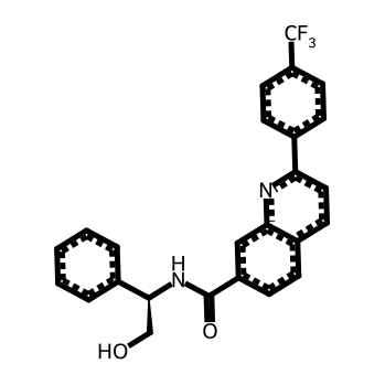 O=C(N[C@@H](CO)c1ccccc1)c1ccc2ccc(-c3ccc(C(F)(F)F)cc3)nc2c1